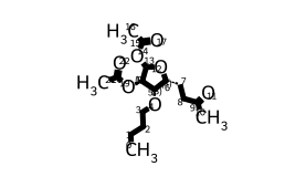 CCCCO[C@H]1[C@@H](CCC(C)=O)OC(OC(C)=O)[C@@H]1OC(C)=O